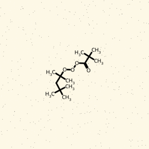 CC(C)(C)CC(C)(C)OOOC(=O)C(C)(C)C